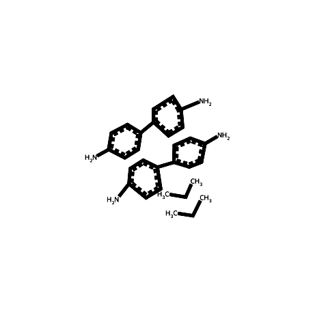 CCC.CCC.Nc1ccc(-c2ccc(N)cc2)cc1.Nc1ccc(-c2ccc(N)cc2)cc1